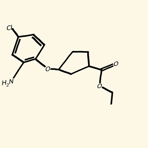 CCOC(=O)C1CCC(Oc2ccc(Cl)cc2N)C1